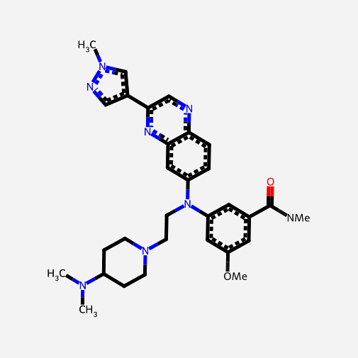 CNC(=O)c1cc(OC)cc(N(CCN2CCC(N(C)C)CC2)c2ccc3ncc(-c4cnn(C)c4)nc3c2)c1